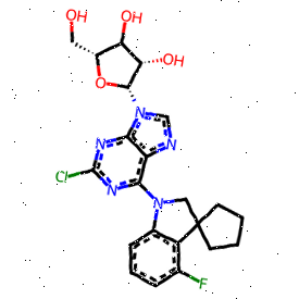 OC[C@H]1O[C@@H](n2cnc3c(N4CC5(CCCC5)c5c(F)cccc54)nc(Cl)nc32)[C@@H](O)C1O